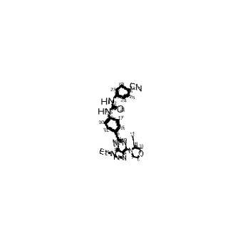 CCn1nnc2c(N3CCOC[C@@H]3C)nc(-c3ccc(NC(=O)Nc4ccc(C#N)cc4)cc3)nc21